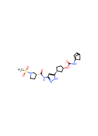 CS(=O)(=O)N1CC[C@@H](C(=O)Nc2cc([C@H]3CC[C@@H](OC(=O)NC45CC=C(C4)C5)C3)[nH]n2)C1